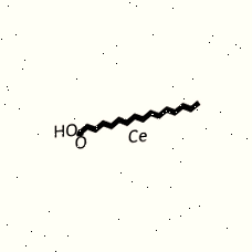 CCCCCCCCCCCCCCCC(=O)O.[Ce]